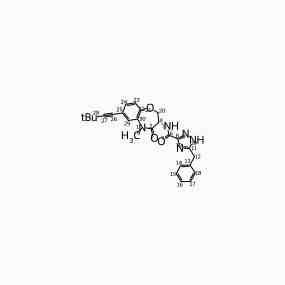 CN1C(=O)[C@@H](NC(=O)c2n[nH]c(Cc3ccccc3)n2)COc2ccc(C#CC(C)(C)C)cc21